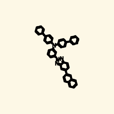 c1ccc(-c2ccc(N(c3ccc(-c4ccccc4)cc3)c3cccc(-n4nc5ccc(-c6ccc7ccccc7c6)cc5n4)c3)cc2)cc1